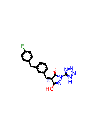 O=C1/C(=C\c2cccc(Cc3ccc(F)cc3)c2)C(O)=NN1c1nnn[nH]1